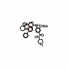 COc1cc(C(=O)NC2CCN(C)CC2)ccc1Nc1ncc(C(F)(F)F)c(N(Cc2ccccc2)[C@@H]2CCCC[C@H]2N(C)Cc2ccccc2)n1